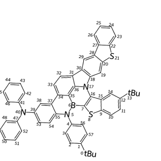 CC(C)(C)c1ccc(N2B3c4sc5ccc(C(C)(C)C)cc5c4-n4c5cc6sc7ccccc7c6cc5c5ccc(c3c54)-c3cc(N(c4ccccc4)c4ccccc4)ccc32)cc1